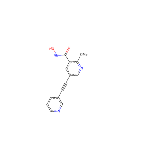 COc1ncc(C#Cc2cccnc2)cc1C(=O)NO